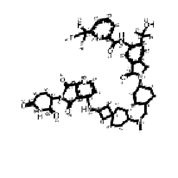 CN(CC1CCC(N2Cc3cc(C(C)(C)O)c(NC(=O)c4cccc(C(F)(F)F)n4)cc3C2=O)CC1)C1CCC2(CC1)CC(Nc1cccc3c1C(=O)N(C1CCC(=O)NC1=O)C3=O)C2